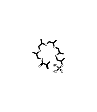 C=C(C)C(=O)OCC(C)OCC(C)OCC(C)OCC(C)OCC(C)OP(=O)(O)O